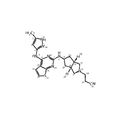 Cc1cc(Nc2nc(NC3C[C@@H]4CN(CCC#N)C[C@@H]4C3)nc3sccc23)n[nH]1